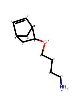 NCCCCOC1CC2C=CC1C2